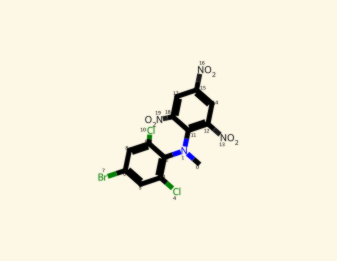 CN(c1c(Cl)cc(Br)cc1Cl)c1c([N+](=O)[O-])cc([N+](=O)[O-])cc1[N+](=O)[O-]